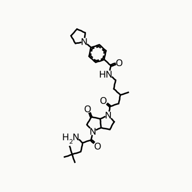 CC(CCNC(=O)c1ccc(N2CCCC2)cc1)CC(=O)N1CCC2C1C(=O)CN2C(=O)C(N)CC(C)(C)C